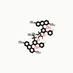 C[C@H](C[C@H](C)Oc1c(C(C)(C)CC(C)(C)C)cc(-c2c3ccc(C(C)(C)C)cc3cc3ccc(C(C)(C)C)cc23)c(O)c1-c1cccc(F)c1)Oc1c(C(C)(C)CC(C)(C)C)cc(-c2c3ccc(C(C)(C)C)cc3cc3ccc(C(C)(C)C)cc23)c(O)c1-c1cccc(F)c1